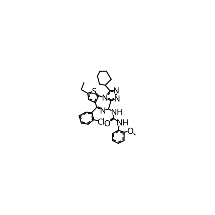 CCc1cc2c(s1)-n1c(C3CCCCC3)nnc1C(NC(=O)Nc1ccccc1OC)N=C2c1ccccc1Cl